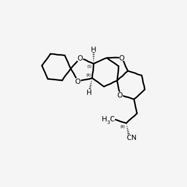 C[C@@H](C#N)CC1CCC2OC3CC2(C[C@H]2OC4(CCCCC4)O[C@@H]32)O1